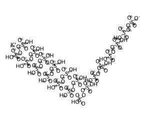 O=S(=O)(O)OOS(=O)(=O)O.O=S(=O)(O)OOS(=O)(=O)O.O=S(=O)(O)OOS(=O)(=O)O.O=S(=O)(O)OOS(=O)(=O)O.O=S(=O)(O)OOS(=O)(=O)O.O=S(=O)(O)OOS(=O)(=O)O.O=S(=O)(O)OOS(=O)(=O)O.O=S(=O)(O)OOS(=O)(=O)O.O=S(=O)(O)OOS(=O)(=O)O.O=S(=O)([O-])OOS(=O)(=O)O.[K+]